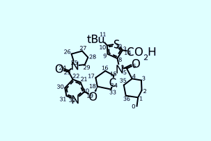 CC1CCC(C(=O)N(c2cc(C(C)(C)C)sc2C(=O)O)[C@H]2CC[C@H](Oc3cc(C(=O)N4CCCC4)ccn3)CC2)CC1